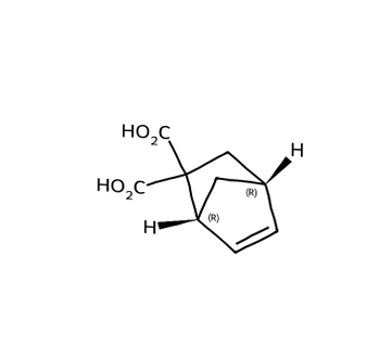 O=C(O)C1(C(=O)O)C[C@@H]2C=C[C@H]1C2